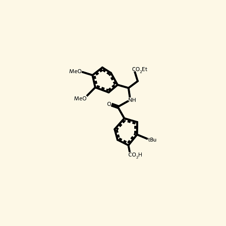 CCOC(=O)CC(NC(=O)c1ccc(C(=O)O)c(C(C)(C)C)c1)c1ccc(OC)c(OC)c1